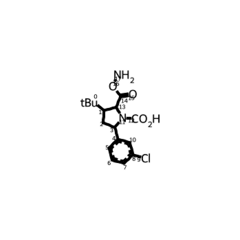 CC(C)(C)C1CC(c2cccc(Cl)c2)N(C(=O)O)C1C(=O)ON